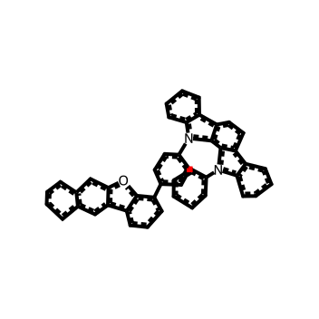 c1ccc(-n2c3ccccc3c3ccc4c5ccccc5n(-c5ccc(-c6cccc7c6oc6cc8ccccc8cc67)cc5)c4c32)cc1